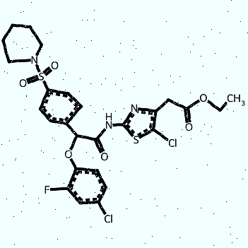 CCOC(=O)Cc1nc(NC(=O)C(Oc2ccc(Cl)cc2F)c2ccc(S(=O)(=O)N3CCCCC3)cc2)sc1Cl